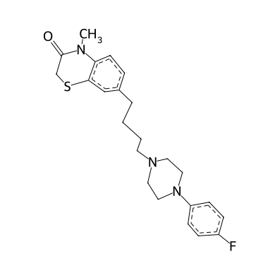 CN1C(=O)CSc2cc(CCCCN3CCN(c4ccc(F)cc4)CC3)ccc21